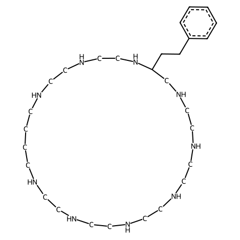 c1ccc(CCC2CNCCNCCNCCNCCNCCNCCCCNCCNCCN2)cc1